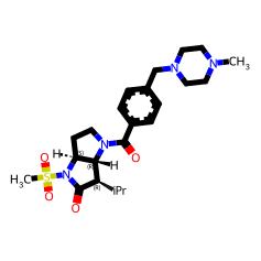 CC(C)[C@H]1C(=O)N(S(C)(=O)=O)[C@H]2CCN(C(=O)c3ccc(CN4CCN(C)CC4)cc3)[C@H]12